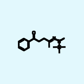 C/C(CCC(=O)c1ccccc1)=N\N(C)[Si](C)(C)C